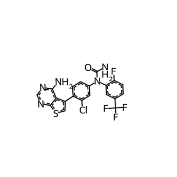 NC(=O)N(c1ccc(-c2csc3ncnc(N)c23)c(Cl)c1)c1cc(C(F)(F)F)ccc1F